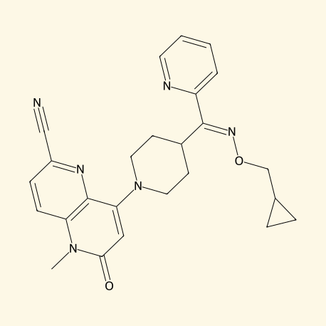 Cn1c(=O)cc(N2CCC(/C(=N\OCC3CC3)c3ccccn3)CC2)c2nc(C#N)ccc21